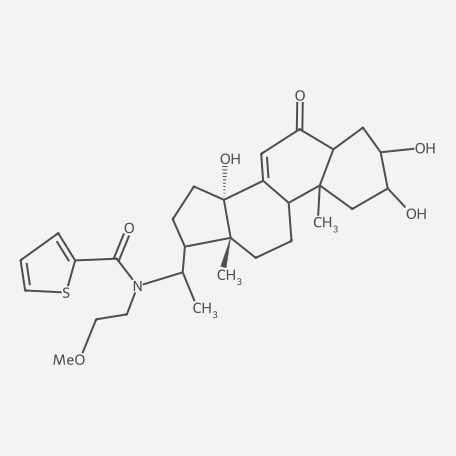 COCCN(C(=O)c1cccs1)C(C)C1CC[C@@]2(O)C3=CC(=O)C4CC(O)C(O)CC4(C)C3CC[C@]12C